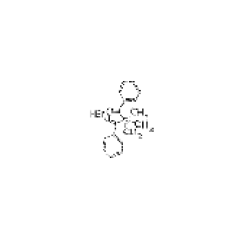 Br.C=S(C)(C)(C(=O)c1ccccc1)C(=O)c1ccccc1